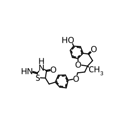 CC1(CCOc2ccc(CC3SC(=N)NC3=O)cc2)CC(=O)c2cc(O)ccc2O1